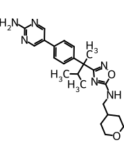 CC(C)C(C)(c1ccc(-c2cnc(N)nc2)cc1)c1noc(NCC2CCOCC2)n1